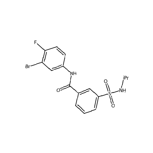 CC(C)NS(=O)(=O)c1cccc(C(=O)Nc2ccc(F)c(Br)c2)c1